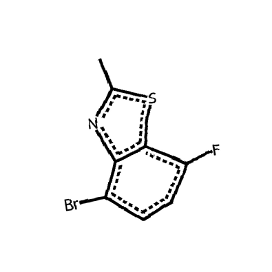 Cc1nc2c(Br)ccc(F)c2s1